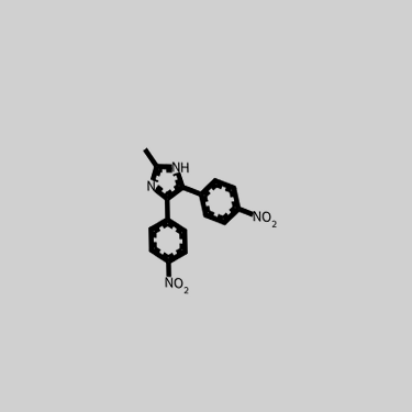 Cc1nc(-c2ccc([N+](=O)[O-])cc2)c(-c2ccc([N+](=O)[O-])cc2)[nH]1